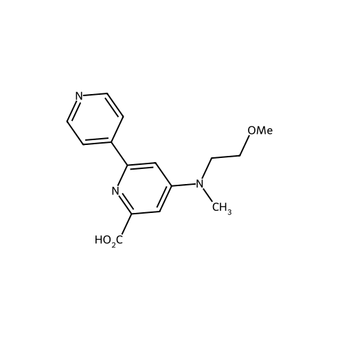 COCCN(C)c1cc(C(=O)O)nc(-c2ccncc2)c1